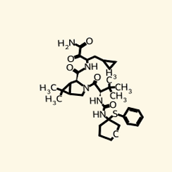 CC1(C)C2CN(C(=O)[C@@H](NC(=O)NC3(Sc4ccccc4)CCCCC3)C(C)(C)C)[C@H](C(=O)NC(CC3CC3)C(=O)C(N)=O)C21